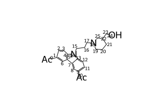 CC(=O)c1ccc2c(c1)c1cc(C(C)=O)ccc1n2CCCN1CCCC(CO)C1